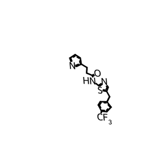 O=C(CCc1cccnc1)Nc1ncc(Cc2ccc(C(F)(F)F)cc2)s1